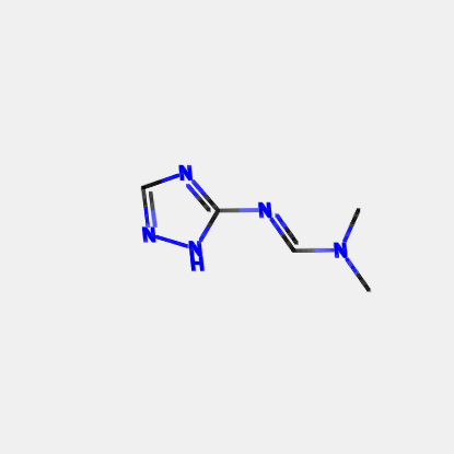 CN(C)C=Nc1ncn[nH]1